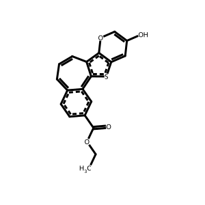 CCOC(=O)c1ccc2c(c1)=c1sc3c(c1C=CC=2)OC=C(O)C=3